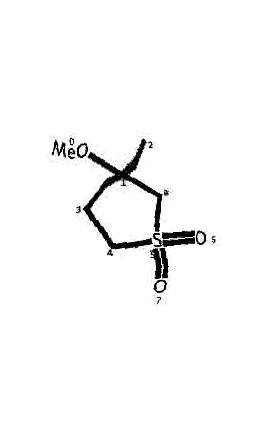 COC1(C)CCS(=O)(=O)C1